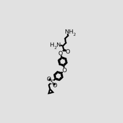 NCCCC(N)C(=O)Oc1ccc(Oc2ccc(S(=O)(=O)CC3CC3)cc2)cc1